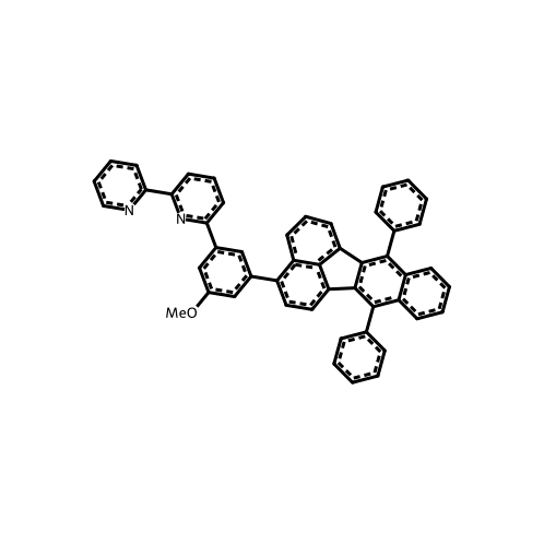 COc1cc(-c2cccc(-c3ccccn3)n2)cc(-c2ccc3c4c(cccc24)-c2c-3c(-c3ccccc3)c3ccccc3c2-c2ccccc2)c1